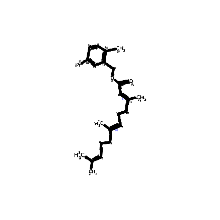 CC(C)=CCC/C(C)=C/CC/C(C)=C/C(=O)OCc1cc(C(C)C)ccc1C